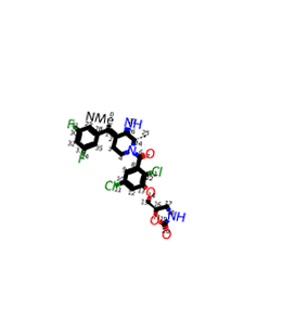 CN/C(=C1/CCN(C(=O)c2cc(Cl)cc(OC[C@H]3CNC(=O)O3)c2Cl)[C@@H](C)C1=N)c1cc(F)cc(F)c1